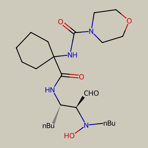 CCCC[C@H](NC(=O)C1(NC(=O)N2CCOCC2)CCCCC1)[C@@H](C=O)N(O)CCCC